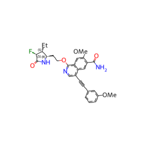 CC[C@@H]1[C@H](F)C(=O)N[C@@H]1CCOc1ncc(C#Cc2cccc(OC)c2)c2cc(C(N)=O)c(OC)cc12